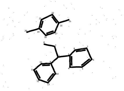 CCC(c1ccccc1)c1ccccc1.Cc1ccc(C)cc1